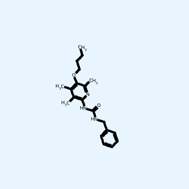 CCCCOc1c(C)nc(NC(=O)NCc2ccccc2)c(C)c1C